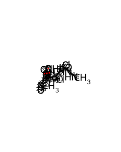 CNCCCNC(=O)c1cc(C#Cc2cc(-c3nn(CCCN4CCOCC4C)c4c3[C@H]3C(=O)C(=O)C4CN3N)ccc2Cl)ccc1Cl